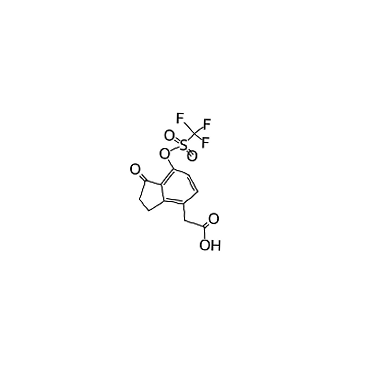 O=C(O)Cc1ccc(OS(=O)(=O)C(F)(F)F)c2c1CCC2=O